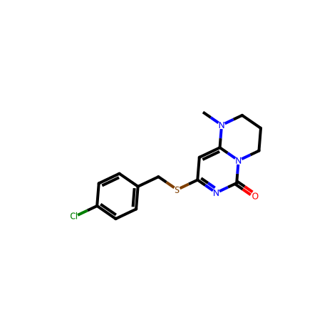 CN1CCCn2c1cc(SCc1ccc(Cl)cc1)nc2=O